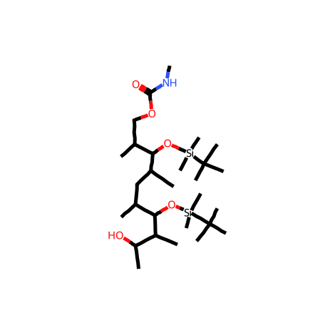 CNC(=O)OCC(C)C(O[Si](C)(C)C(C)(C)C)C(C)CC(C)C(O[Si](C)(C)C(C)(C)C)C(C)C(C)O